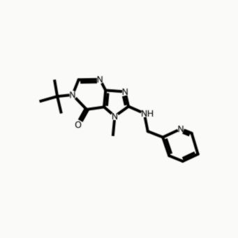 Cn1c(NCc2ccccn2)nc2ncn(C(C)(C)C)c(=O)c21